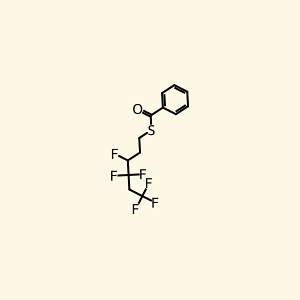 O=C(SCCC(F)C(F)(F)CC(F)(F)F)c1ccccc1